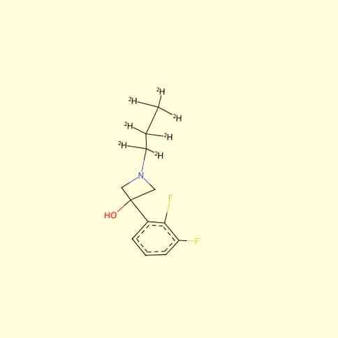 [2H]C([2H])([2H])C([2H])([2H])C([2H])([2H])N1CC(O)(c2cccc(F)c2F)C1